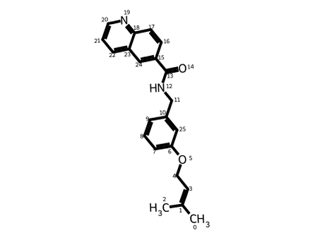 CC(C)=CCOc1cccc(CNC(=O)c2ccc3ncccc3c2)c1